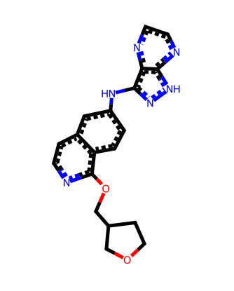 c1cc2cc(Nc3n[nH]c4nccnc34)ccc2c(OCC2CCOC2)n1